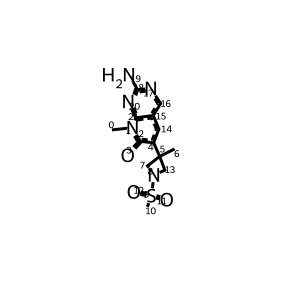 Cn1c(=O)c(C2(C)CN(S(C)(=O)=O)C2)cc2cnc(N)nc21